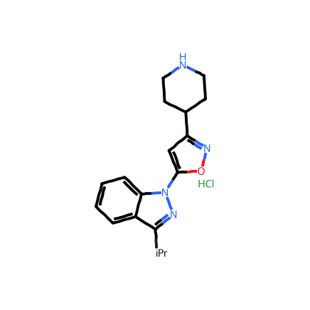 CC(C)c1nn(-c2cc(C3CCNCC3)no2)c2ccccc12.Cl